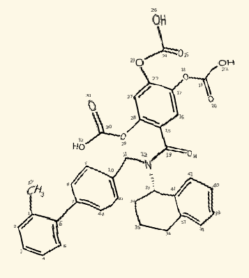 Cc1ccccc1-c1ccc(CN(C(=O)c2cc(OC(=O)O)c(OC(=O)O)cc2OC(=O)O)[C@H]2CCCc3ccccc32)cc1